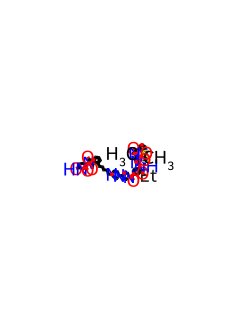 CCOc1cc(C(=O)N2CCC(N3CCN(CCCCCc4cccc5c4C(=O)N(C4CCC(=O)NC4=O)C5=O)CC3)CC2)ccc1Nc1ncc2c(n1)N(S(C)(=O)=O)c1ccccc1C(=O)N2C